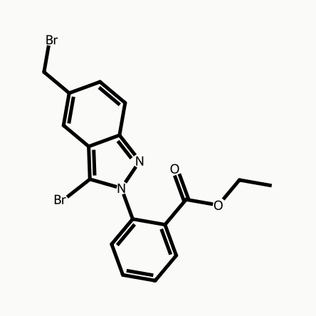 CCOC(=O)c1ccccc1-n1nc2ccc(CBr)cc2c1Br